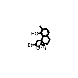 CCC(=O)CC12CN(C)C(Cc3ccc(C)c(O)c31)C2(C)O